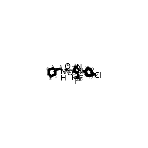 O=C(NCC1CCCCC1)Oc1cnn(-c2ccc(Cl)cc2)c1C(F)(F)F